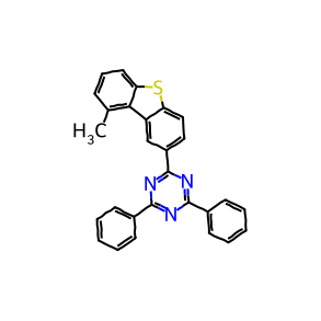 Cc1cccc2sc3ccc(-c4nc(-c5ccccc5)nc(-c5ccccc5)n4)cc3c12